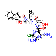 CCCN(Oc1cc2ccccc2cc1O)C(C)NC(=O)C(CO)NC(=O)c1nc(Cl)c(N)nc1N